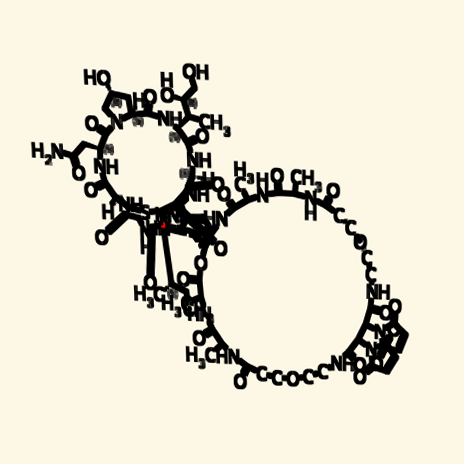 CC[C@H](C)[C@@H]1CNC(=O)CNC(=O)[C@@H]2Cc3c([nH]c4cc5c(cc34)NC(=O)C(C)NC(=O)C(C)NC(=O)CCOCCNC(=O)C(N3C(=O)C=CC3=O)C(N3C(=O)C=CC3=O)C(=O)NCCOCCC(=O)NC(C)C(=O)NC(C)C(=O)O5)SC[C@H](NC(=O)CNC1=O)C(=O)N[C@@H](CC(N)=O)C(=O)N1C[C@H](O)C[C@H]1C(=O)N[C@@H](C(C)[C@@H](O)CO)C(=O)N2